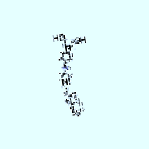 O=C(CCC[n+]1ccc(/C=C/c2ccc(N(CCO)CCO)cc2)cc1)OC1CCCSSC1